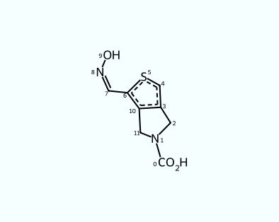 O=C(O)N1Cc2csc(/C=N\O)c2C1